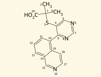 CC(C)(Sc1cncnc1-c1cccc2cnccc12)C(=O)O